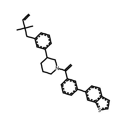 C=CC(C)(C)Cc1cccc(C2CCCN(C(=C)c3cccc(-c4ccc5ccsc5c4)c3)C2)c1